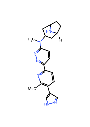 COc1nc(-c2ccc(N(C)C3CC4CC[C@@H](C3)N4)nn2)ccc1-c1cn[nH]c1